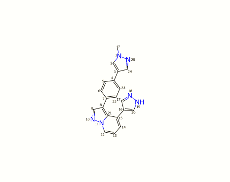 Cn1cc(-c2ccc(-c3cnn4cccc(-c5cn[nH]c5)c34)cc2)cn1